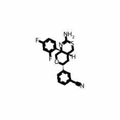 N#Cc1cccc([C@H]2C[C@H]3CSC(N)=N[C@@]3(c3ccc(F)cc3F)CO2)c1